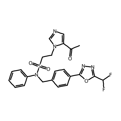 CC(=O)c1cncn1CCS(=O)(=O)N(Cc1ccc(-c2nnc(C(F)F)o2)cc1)c1ccccc1